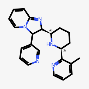 Cc1cccnc1[C@@H]1CCC[C@H](C2N=C3C=CC=CN3C2c2cccnc2)N1